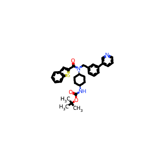 CC(C)(C)OC(=O)N[C@H]1CC[C@H](N(Cc2cccc(-c3cccnc3)c2)C(=O)c2cc3ccccc3s2)CC1